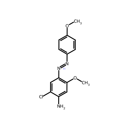 COc1ccc(/N=N/c2cc(Cl)c(N)cc2OC)cc1